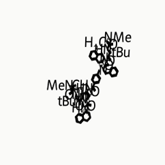 CN[C@@H](C)C(=O)NC(C(=O)N1Cc2ccccc2C[C@H]1C(=O)N(Cc1ccccc1)Cc1ccc(C(=O)N[C@H]2C[C@@H](C(=O)N[C@@H]3CCCc4ccccc43)N(C(=O)[C@@H](NC(=O)[C@H](C)NC)C(C)(C)C)C2)cc1)C(C)(C)C